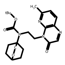 Cc1ccc2ncc(=O)n(CCN(C(=O)OC(C)(C)C)C34CCC(CC3)OC4)c2n1